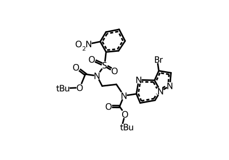 CC(C)(C)OC(=O)N(CCN(C(=O)OC(C)(C)C)S(=O)(=O)c1ccccc1[N+](=O)[O-])c1ccn2ncc(Br)c2n1